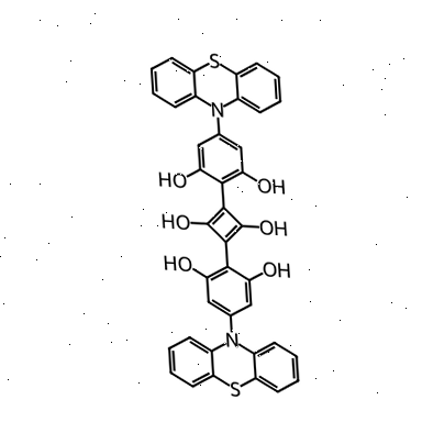 OC1=C(c2c(O)cc(N3c4ccccc4Sc4ccccc43)cc2O)C(O)=C1c1c(O)cc(N2c3ccccc3Sc3ccccc32)cc1O